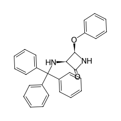 O=C1N[C@H](Oc2ccccc2)[C@@H]1NC(c1ccccc1)(c1ccccc1)c1ccccc1